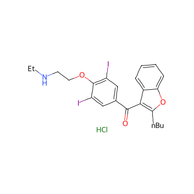 CCCCc1oc2ccccc2c1C(=O)c1cc(I)c(OCCNCC)c(I)c1.Cl